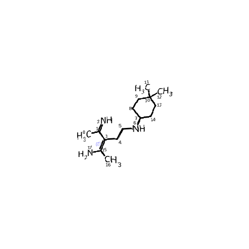 CC(=N)/C(CCNC1CCC(C)(C)CC1)=C(/C)N